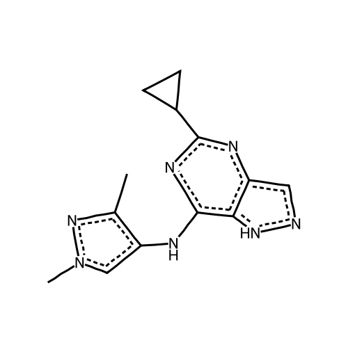 Cc1nn(C)cc1Nc1nc(C2CC2)nc2cn[nH]c12